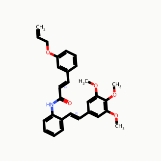 C=CCOc1cccc(/C=C/C(=O)Nc2ccccc2/C=C/c2cc(OC)c(OC)c(OC)c2)c1